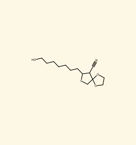 N#CC1C(CCCCCCCO)SCC12OCCO2